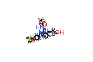 CC(C)(C)OC(=O)NCc1nn(-c2ccc(OC(F)(F)F)cc2)c2nccc(NC3CC(O)C3)c12